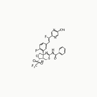 N#Cc1cnc(/C(F)=C/c2ccc(F)c([C@]34CO[C@@H](S(=O)(=O)C(F)(F)F)[C@@H]3CSC(NC(=O)c3ccccc3)=N4)c2)cn1